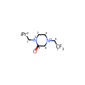 CC(C)CN1CCN(CC(F)(F)F)CC1=O